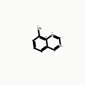 N#Cc1cccc2[c]ncnc12